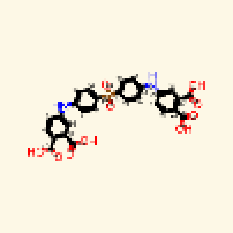 O=C(O)c1ccc(Nc2ccc(S(=O)(=O)c3ccc(Nc4ccc(C(=O)O)c(C(=O)O)c4)cc3)cc2)cc1C(=O)O